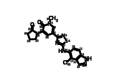 Cn1cc(-c2nsc(Nc3ccc4[nH]ncc4c3Cl)n2)cc(N2CCCC2=O)c1=O